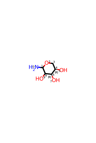 NC1OC[C@@H](O)[C@@H](O)C1O